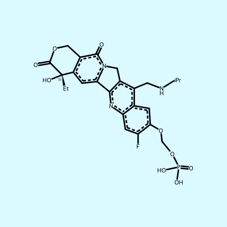 CC[C@@]1(O)C(=O)OCc2c1cc1n(c2=O)Cc2c-1nc1cc(F)c(OCOP(=O)(O)O)cc1c2CNC(C)C